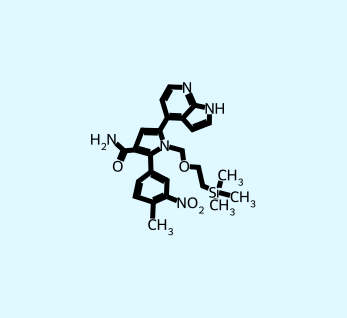 Cc1ccc(-c2c(C(N)=O)cc(-c3ccnc4[nH]ccc34)n2COCC[Si](C)(C)C)cc1[N+](=O)[O-]